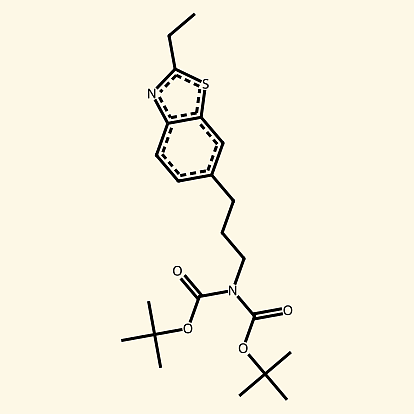 CCc1nc2ccc(CCCN(C(=O)OC(C)(C)C)C(=O)OC(C)(C)C)cc2s1